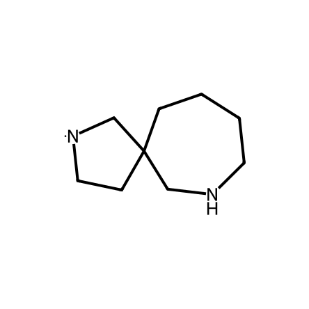 C1CCC2(CC[N]C2)CNC1